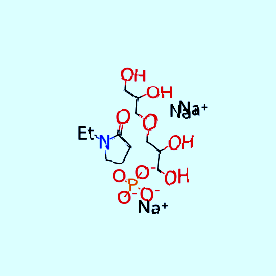 CCN1CCCC1=O.O=P([O-])([O-])[O-].OCC(O)COCC(O)CO.[Na+].[Na+].[Na+]